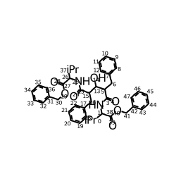 CC(C)C(NC(=O)C(Cc1ccccc1)C(O)C(Cc1ccccc1)C(=O)NC(C(=O)OCc1ccccc1)C(C)C)C(=O)OCc1ccccc1